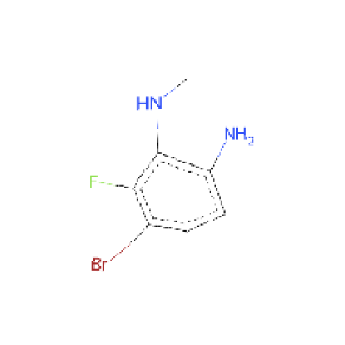 CNc1c(N)ccc(Br)c1F